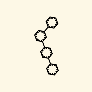 [c]1cc(-c2ccccc2)cc(-c2ccc(-c3ccccc3)cc2)c1